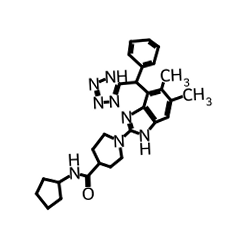 Cc1cc2[nH]c(N3CCC(C(=O)NC4CCCC4)CC3)nc2c(C(c2ccccc2)c2nnn[nH]2)c1C